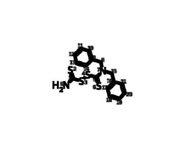 NC(=S)SSC(=S)N(Cc1ccccc1)Cc1ccccc1